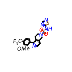 COc1cc(C(F)(F)F)ccc1-c1nccc2c1CCN(S(=O)(=O)Nc1ncns1)C2